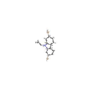 B=Cn1c2cc(Br)ccc2c2ccc(Br)cc21